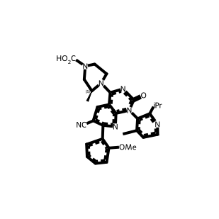 COc1ccccc1-c1nc2c(cc1C#N)c(N1CCN(C(=O)O)C[C@@H]1C)nc(=O)n2-c1c(C)ccnc1C(C)C